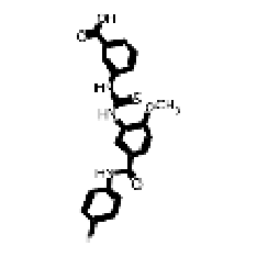 COc1ccc(C(=O)Nc2ccc(F)cc2)cc1NC(=S)Nc1cccc(C(=O)O)c1